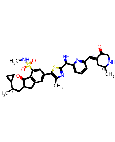 CNS(=O)(=O)c1cc(-c2sc(C(=N)c3cccc(/C=C4\C[C@H](C)NCC4=O)n3)nc2C)cc2c1C(=O)C(C[C@@H](C)C1CC1)C2